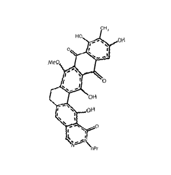 CCCn1ncc2cc3c(c(O)c2c1=O)-c1c(O)c2c(c(OC)c1CC3)C(=O)c1c(cc(O)c(C)c1O)C2=O